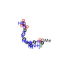 COc1ccc(F)cc1C(=O)NCc1ccc(-c2nn([C@H]3CCN(c4ccc(CN5CCN(c6ccc7c(c6)CN([C@H]6CCC(=O)NC6=O)C7=O)CC5)cn4)C3)c3ncnc(N)c23)cc1